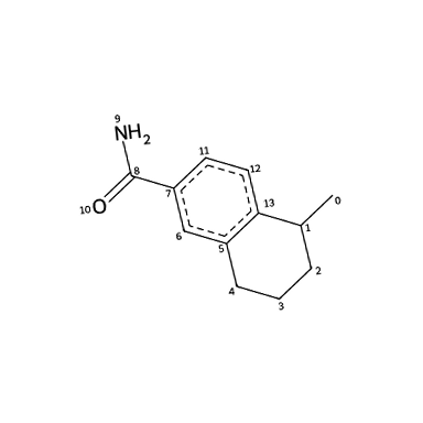 CC1CCCc2cc(C(N)=O)ccc21